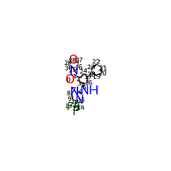 O=C(c1cc(Nc2nccc(C(F)(F)F)n2)cc(-c2ccccc2)c1)N1CCOCC1